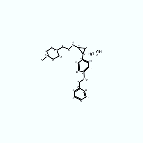 CN1CCN(CCNC2CC2c2ccc(OCc3ccccc3)cc2)CC1.Cl.Cl